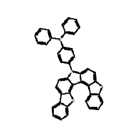 c1ccc(N(c2ccccc2)c2ccc(-n3c4ccc5c6ccccc6sc5c4c4c5c(ccc43)sc3ccccc35)cc2)cc1